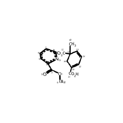 CC(C)(C)OC(=O)c1ccccn1.CC1(C(=O)O)C=CC=C(C(=O)O)C1